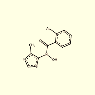 CC(=O)c1ccccc1C(=O)N(O)c1scnc1C